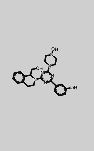 OCC1c2ccccc2CCN1c1nc(-c2cccc(O)c2)nc(N2CCN(O)CC2)n1